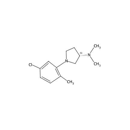 Cc1ccc(Cl)cc1N1CC[C@H](N(C)C)C1